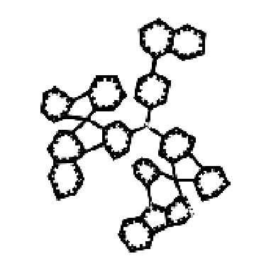 c1ccc2c(c1)-c1ccccc1C21c2cc(N(c3ccc(-c4cccc5ccccc45)cc3)c3ccc4c(c3)C3(c5ccccc5-4)c4ccccc4-n4c5ccccc5c5cccc3c54)ccc2-c2c1ccc1ccccc21